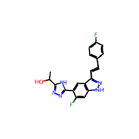 CC(O)c1nnc(-c2cc3c(C=Cc4ccc(F)cc4)n[nH]c3cc2F)[nH]1